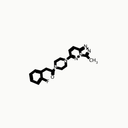 Cc1nnc2ccc(N3CCN(C(=O)Cc4ccccc4F)CC3)nn12